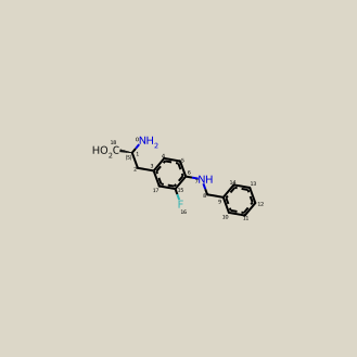 N[C@@H](Cc1ccc(NCc2ccccc2)c(F)c1)C(=O)O